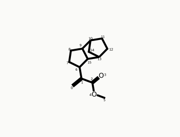 C=C(C(=O)OC)C1CCC2C3CCC(C3)C12